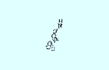 Clc1cccc2ccc(-n3cnc4cc(OCCCN5CCOCC5)ccc43)nc12